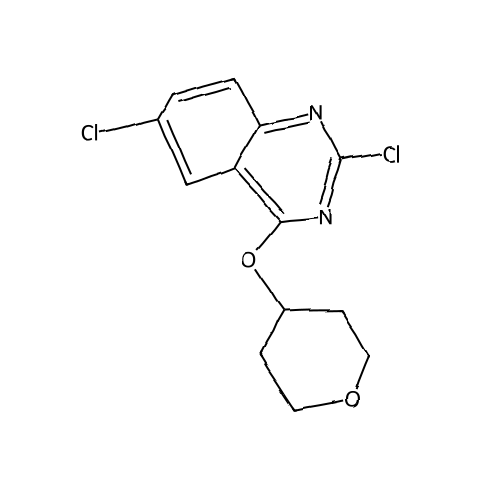 Clc1ccc2nc(Cl)nc(OC3CCOCC3)c2c1